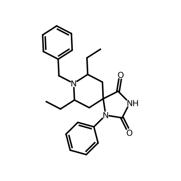 CCC1CC2(CC(CC)N1Cc1ccccc1)C(=O)NC(=O)N2c1ccccc1